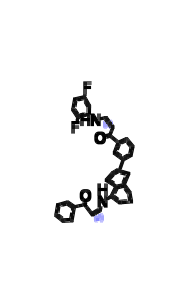 O=C(/C=C\Nc1cccc2cc(-c3cccc(C(=O)/C=C\Nc4cc(F)ccc4F)c3)ccc12)c1ccccc1